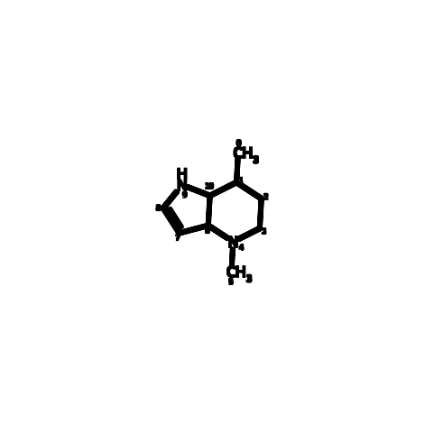 CC1CCN(C)C2C=CNC12